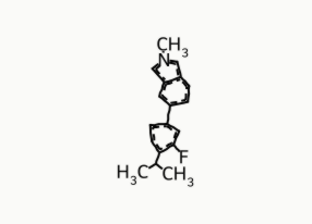 CC(C)c1ccc(-c2ccc3cn(C)cc3c2)cc1F